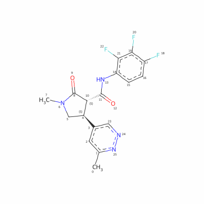 Cc1cc([C@H]2CN(C)C(=O)[C@@H]2C(=O)Nc2ccc(F)c(F)c2F)cnn1